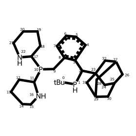 CC(C)(C)PC(c1ccccc1CP(C1CCCCN1)C1CCCCN1)C12CC3CC(CC(C3)C1)C2